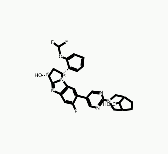 O=C(O)C1C2CCC1CN(c1ncc(-c3cc4c(cc3F)nc3n4[C@@H](c4ccccc4OC(F)F)C[C@H]3O)cn1)C2